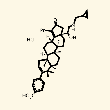 CC(C)C1=C2[C@H]3CC[C@@H]4[C@@]5(C)CC=C(c6ccc(C(=O)O)cc6)C(C)(C)[C@@H]5CC[C@@]4(C)[C@]3(C)CC[C@@]2(C(O)CNCC2CC2)CC1=O.Cl